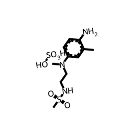 Cc1cc(N(C)CCNS(C)(=O)=O)ccc1N.O=S(=O)(O)O